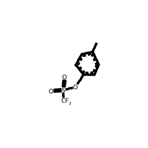 Cc1ccc(OS(=O)(=O)C(F)(F)F)cc1